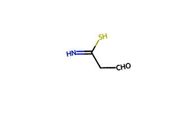 N=C(S)CC=O